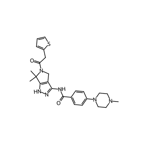 CN1CCN(c2ccc(C(=O)Nc3n[nH]c4c3CN(C(=O)Cc3cccs3)C4(C)C)cc2)CC1